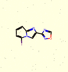 Ic1cccc2nc(-c3ncon3)cn12